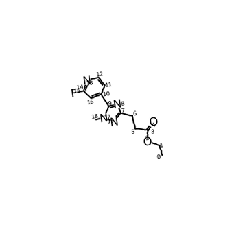 CCOC(=O)CCc1nc(-c2ccnc(F)c2)n(C)n1